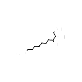 CCCCCCCCCCCCCCCC(O)[C@@H](C)CO